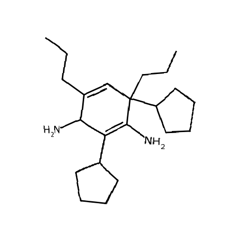 CCCC1=CC(CCC)(C2CCCC2)C(N)=C(C2CCCC2)C1N